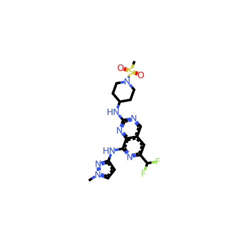 Cn1ccc(Nc2nc(C(F)F)cc3cnc(NC4CCN(S(C)(=O)=O)CC4)nc23)n1